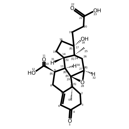 C[C@]12CCC(=O)C=C1C[C@@H](C(=O)O)[C@H]1[C@@H]3CC[C@@](O)(CCC(=O)O)[C@@]3(C)C[C@H]3O[C@@]132